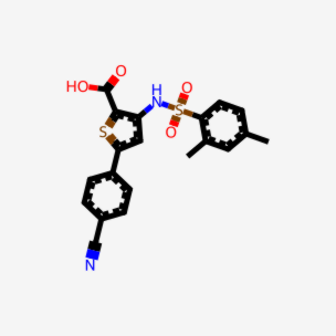 Cc1ccc(S(=O)(=O)Nc2cc(-c3ccc(C#N)cc3)sc2C(=O)O)c(C)c1